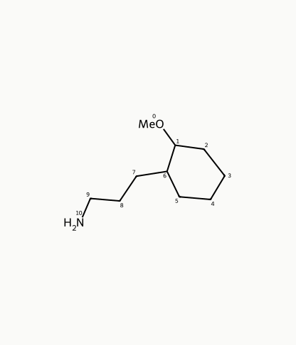 COC1CCCCC1CCCN